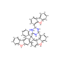 c1ccc(C2(c3ccc4oc5ccccc5c4c3)C3=NC(=NC(c4cccc5c4oc4ccccc45)N3)c3cccc4oc5cccc2c5c34)cc1